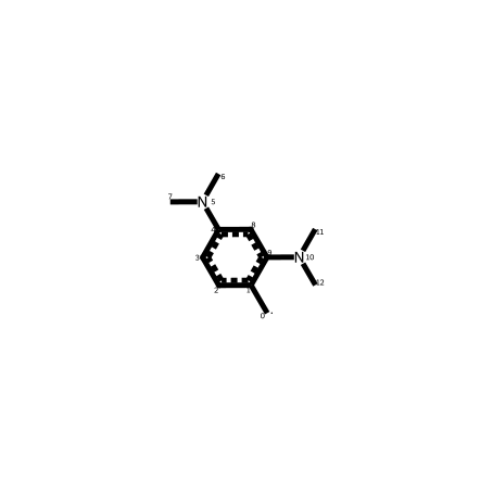 [CH2]c1ccc(N(C)C)cc1N(C)C